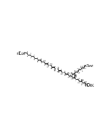 CCCCCCCCCCCCCCCCCCCCCCCCCCCCCCCCCCCCN(CCCCCCCCCCCCCCCCCC)CCCCCCCCCCCCCCCCCC